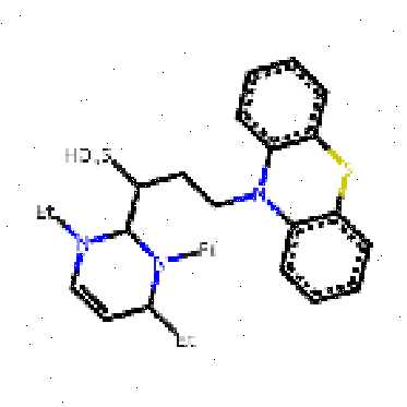 CCC1C=CN(CC)C(C(CCN2c3ccccc3Sc3ccccc32)S(=O)(=O)O)N1CC